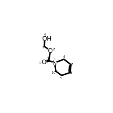 O=C(OCO)N1CC=CCC1